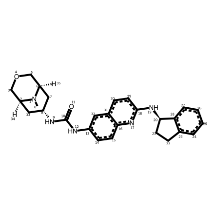 CN1[C@@H]2COC[C@H]1C[C@H](NC(=O)Nc1ccc3nc(N[C@@H]4CCc5ccccc54)ccc3c1)C2